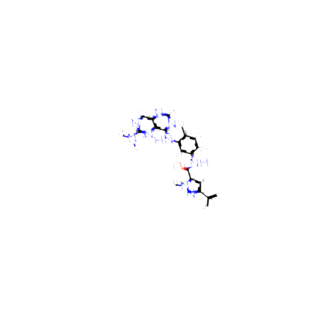 C=C(C)c1cc(C(=O)Nc2ccc(C)c(Nc3ncnc4cnc(N(C)C)nc34)c2)n(C)n1